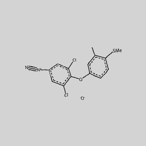 CSc1ccc(Oc2c(Cl)cc([N+]#N)cc2Cl)cc1C.[Cl-]